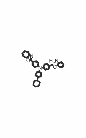 Nc1ccccc1OCc1ccc(N(c2ccc(-c3nc4ccccc4o3)cc2)c2ccc(C3CCCCC3)cc2)cc1